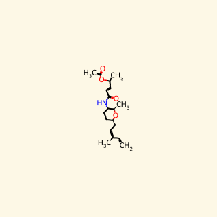 C=CC(C)=CC[C@H]1CC[C@@H](NC(=O)C=CC(C)OC(C)=O)[C@@H](C)O1